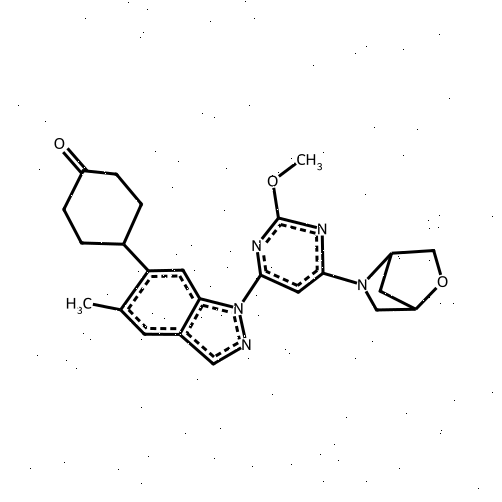 COc1nc(N2CC3CC2CO3)cc(-n2ncc3cc(C)c(C4CCC(=O)CC4)cc32)n1